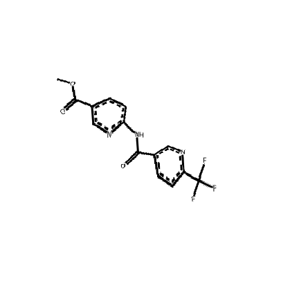 COC(=O)c1ccc(NC(=O)c2ccc(C(F)(F)F)nc2)nc1